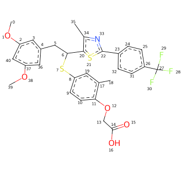 COc1cc(CC(Sc2ccc(OCC(=O)O)c(C)c2)c2sc(-c3ccc(C(F)(F)F)cc3)nc2C)cc(OC)c1